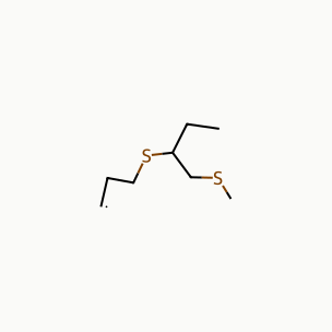 [CH2]CCSC(CC)CSC